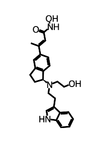 C/C(=C\C(=O)NO)c1ccc2c(c1)CC[C@@H]2N(CCO)CCc1c[nH]c2ccccc12